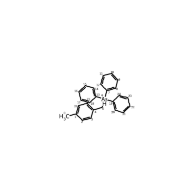 Cc1ccc(C[AsH](c2ccccc2)(c2ccccc2)c2ccccc2)cc1